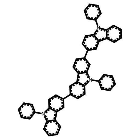 c1ccc(-n2c3ccccc3c3cc(-c4ccc5c(c4)c4ccc(-c6ccc7c(c6)c6ccccc6n7-c6ccccc6)cc4n5-c4ccccc4)ccc32)cc1